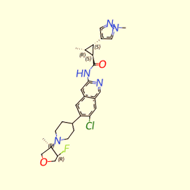 C[C@H]1[C@H](C(=O)Nc2cc3cc(C4CCN([C@]5(C)COC[C@@H]5F)CC4)c(Cl)cc3cn2)[C@H]1c1cnn(C)c1